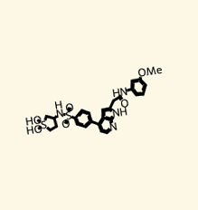 COc1cccc(NC(=O)Cc2cc3c(-c4ccc(S(=O)(=O)NC5CCS(O)(O)C5)cc4)ccnc3[nH]2)c1